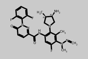 C=NN(C)c1c(F)cc(NC(=O)c2ccc(=O)n(-c3c(F)cccc3F)n2)c(N2C[C@@H](C)[C@@H](N)C2)c1C